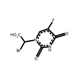 O=C(O)C(Br)n1cc(F)c(=O)[nH]c1=O